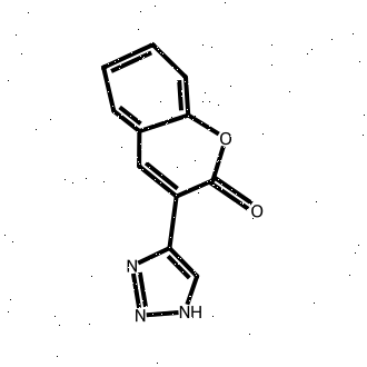 O=c1oc2ccccc2cc1-c1c[nH]nn1